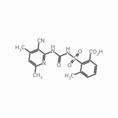 Cc1cc(C)c(C#N)c(NC(=O)NS(=O)(=O)c2c(C)cccc2C(=O)O)n1